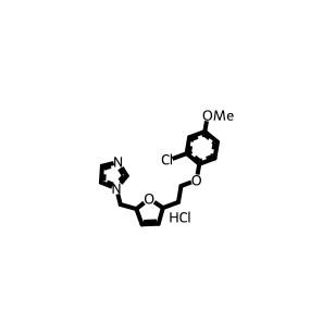 COc1ccc(OCCC2C=CC(Cn3ccnc3)O2)c(Cl)c1.Cl